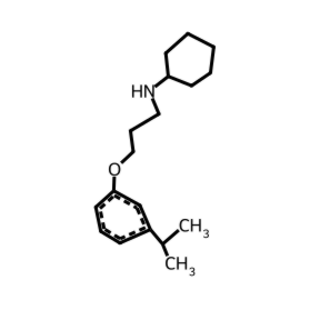 CC(C)c1cccc(OCCCNC2CCCCC2)c1